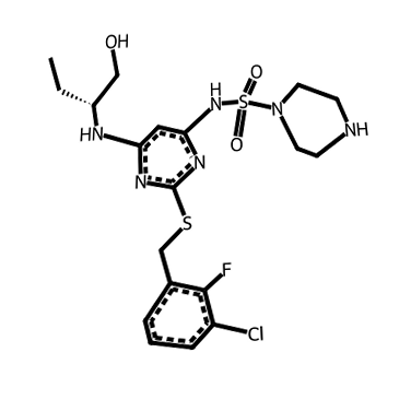 CC[C@H](CO)Nc1cc(NS(=O)(=O)N2CCNCC2)nc(SCc2cccc(Cl)c2F)n1